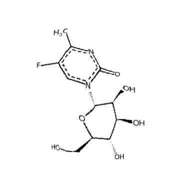 Cc1nc(=O)n([C@H]2O[C@H](CO)[C@@H](O)[C@H](O)[C@@H]2O)cc1F